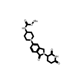 CC(C)(C)OC(=O)NC1CCN(c2ccc3c(c2)CN(C2CCC(=O)NC2=O)C3=O)CC1